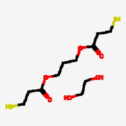 O=C(CCS)OCCCOC(=O)CCS.OCCO